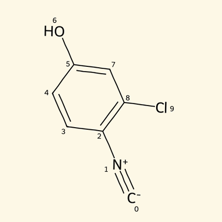 [C-]#[N+]c1ccc(O)cc1Cl